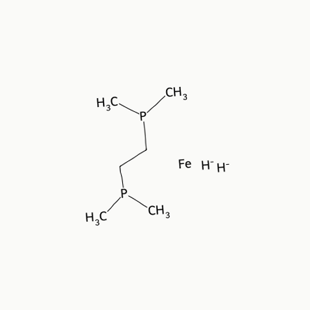 CP(C)CCP(C)C.[Fe].[H-].[H-]